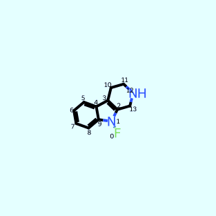 Fn1c2c(c3ccccc31)CCNC2